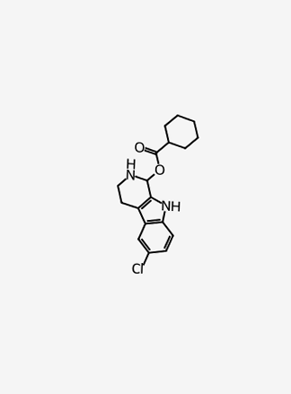 O=C(OC1NCCc2c1[nH]c1ccc(Cl)cc21)C1CCCCC1